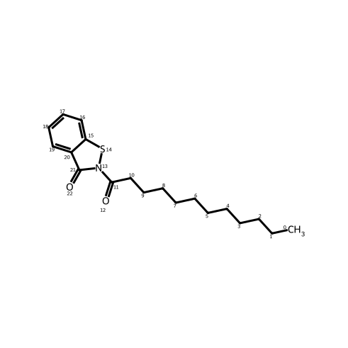 CCCCCCCCCCCC(=O)n1sc2ccccc2c1=O